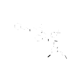 C#CCCC(NC(=O)[C@@H]1C2C(CN1C(=O)[C@@H](NC(=O)N[C@H](COC(=O)NCC1CCCCC1)C(C)(C)C)C1(C)CCCCC1)C2(C)C)C(=O)C(=O)NCC=C